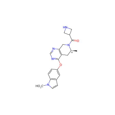 C[C@H]1Cc2c(ncnc2Oc2ccc3c(ccn3C(=O)O)c2)CN1C(=O)C1CNC1